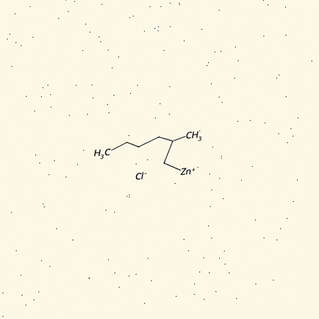 CCCCC(C)[CH2][Zn+].[Cl-]